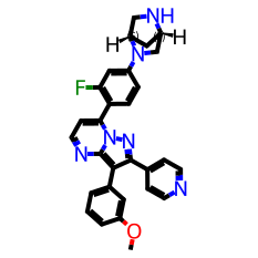 COc1cccc(-c2c(-c3ccncc3)nn3c(-c4ccc(N5C[C@@H]6C[C@H]5CN6)cc4F)ccnc23)c1